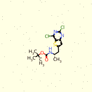 C[C@@H](Cc1cc2nc(Cl)nc(Cl)c2s1)NC(=O)OC(C)(C)C